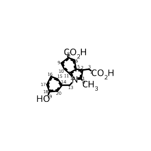 Cc1c(CC(=O)O)c2cc(C(=O)O)ccc2n1Cc1cccc(O)c1